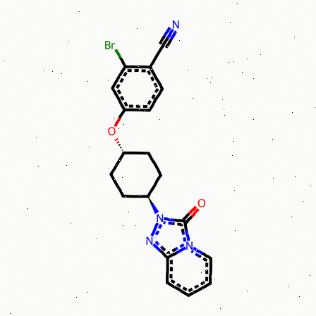 N#Cc1ccc(O[C@H]2CC[C@H](n3nc4ccccn4c3=O)CC2)cc1Br